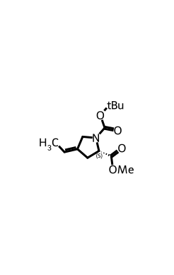 CC=C1C[C@@H](C(=O)OC)N(C(=O)OC(C)(C)C)C1